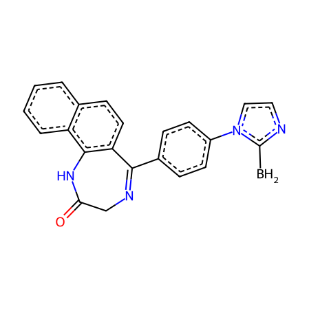 Bc1nccn1-c1ccc(C2=NCC(=O)Nc3c2ccc2ccccc32)cc1